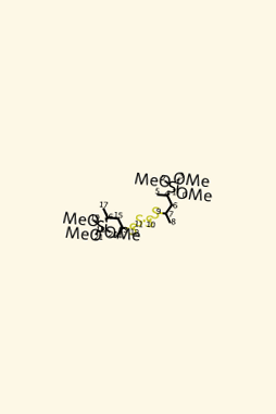 CO[Si](OC)(OC)C(C)CC(C)SSSSC(C)CC(C)[Si](OC)(OC)OC